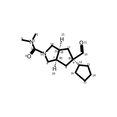 CN(C)C(=O)N1C[C@@H]2C[C@@](C=O)(C3CCCC3)C[C@@H]2C1